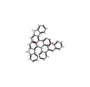 c1ccc(N(c2ccccc2-c2cccc3sc4ccccc4c23)c2cccc3oc4ccccc4c23)c(-c2ccc3ccccc3c2)c1